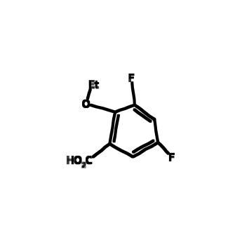 CCOc1c(F)cc(F)cc1C(=O)O